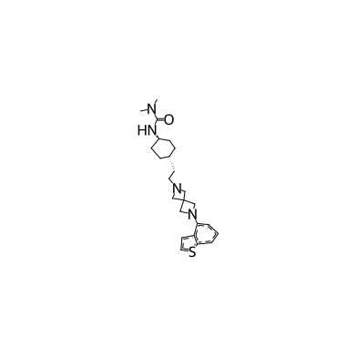 CN(C)C(=O)N[C@H]1CC[C@H](CCN2CC3(C2)CN(c2cccc4sccc24)C3)CC1